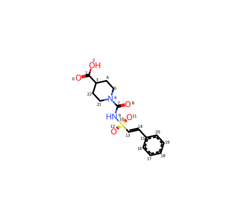 O=C(O)C1CCN(C(=O)NS(=O)(=O)C=Cc2ccccc2)CC1